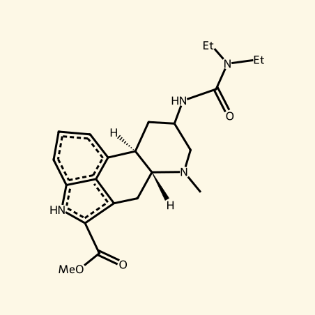 CCN(CC)C(=O)NC1C[C@@H]2c3cccc4[nH]c(C(=O)OC)c(c34)C[C@H]2N(C)C1